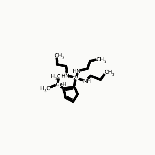 CCC[NH][Zr]([NH]CCC)([NH]CCC)[C]1=[C]([GeH]([CH3])[CH3])C=CC1